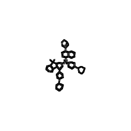 CC1(C)c2ccccc2-c2c(-c3ccc(-c4ccccc4)cc3)cc(N(c3ccc(C4CCCCC4)cc3)c3ccc(C4CC5CCC4C5)c4ccccc34)cc21